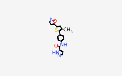 Cc1cc(-c2ccno2)sc1-c1ccc(NC(=O)c2ccn[nH]2)cc1